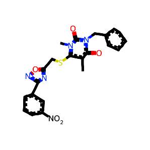 Cc1c(SCc2nc(-c3cccc([N+](=O)[O-])c3)no2)n(C)c(=O)n(Cc2ccccc2)c1=O